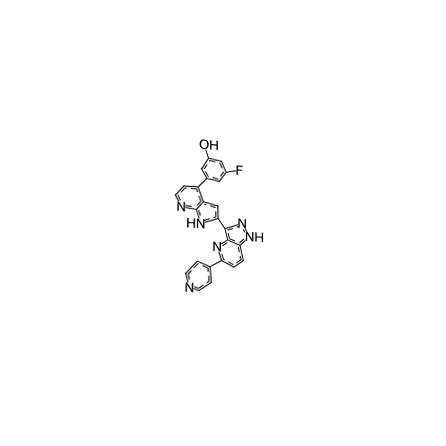 Oc1cc(F)cc(-c2ccnc3[nH]c(-c4n[nH]c5ccc(-c6ccncc6)nc45)cc23)c1